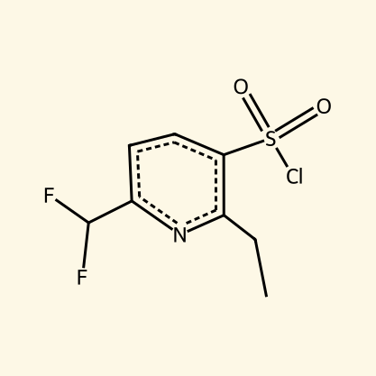 CCc1nc(C(F)F)ccc1S(=O)(=O)Cl